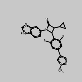 O=C1C(C2CC2)C(c2c(F)cc(-c3cnn(C(F)(F)F)c3)cc2F)N1c1ccc2[nH]cnc2c1